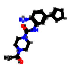 CC(=O)N1CCN(C(=O)Nc2cc(C3=CCCC3)ccc2N)CC1